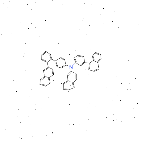 c1cc(-c2cccc3ccccc23)cc(N(c2ccc(-c3ccccc3-c3ccc4ccccc4c3)cc2)c2ccc3ccccc3c2)c1